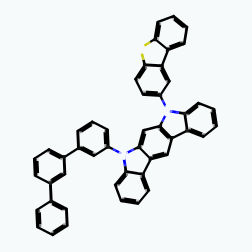 c1ccc(-c2cccc(-c3cccc(-n4c5ccccc5c5cc6c7ccccc7n(-c7ccc8sc9ccccc9c8c7)c6cc54)c3)c2)cc1